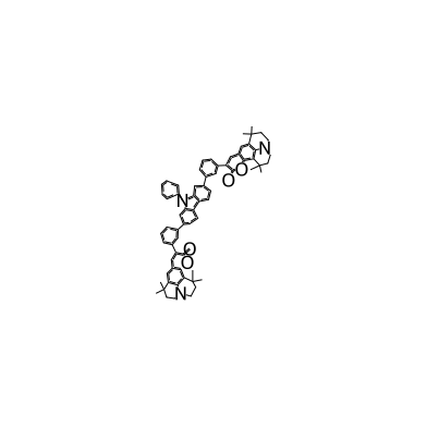 CC1(C)CCN2CCC(C)(C)c3c2c1cc1cc(-c2cccc(-c4ccc5c6ccc(-c7cccc(-c8cc9cc%10c%11c(c9oc8=O)C(C)(C)CCN%11CCC%10(C)C)c7)cc6n(-c6ccccc6)c5c4)c2)c(=O)oc31